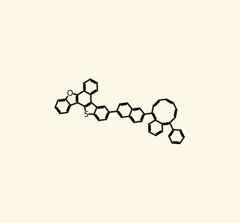 c1ccc(-c2ccccccc(-c3ccc4cc(-c5ccc6sc7c(c6c5)c5ccccc5c5oc6ccccc6c57)ccc4c3)c3ccccc23)cc1